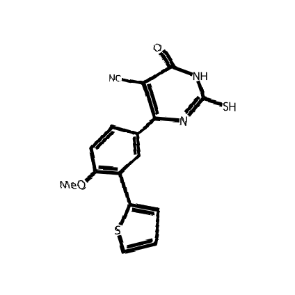 COc1ccc(-c2nc(S)[nH]c(=O)c2C#N)cc1-c1cccs1